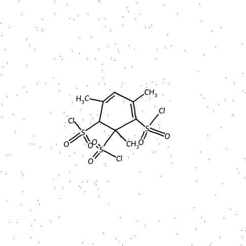 CC1=CC(C)=C(S(=O)(=O)Cl)C(C)(S(=O)(=O)Cl)C1S(=O)(=O)Cl